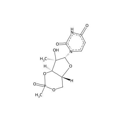 C[C@@]1(O)[C@@H]2OP(C)(=O)OC[C@H]2O[C@H]1n1ccc(=O)[nH]c1=O